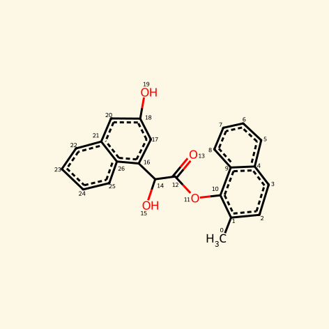 Cc1ccc2ccccc2c1OC(=O)C(O)c1cc(O)cc2ccccc12